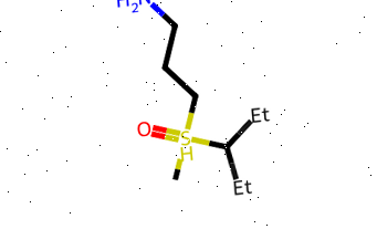 CCC(CC)[SH](C)(=O)CCCN